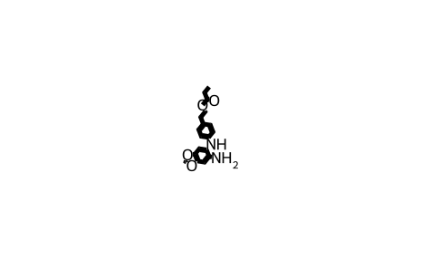 CCC(=O)OCCc1ccc(Nc2cc3c(cc2N)OCO3)cc1